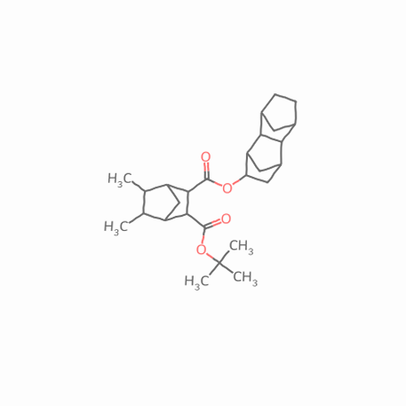 CC1C(C)C2CC1C(C(=O)OC1CC3CC1C1C4CCC(C4)C31)C2C(=O)OC(C)(C)C